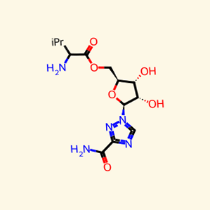 CC(C)C(N)C(=O)OC[C@@H]1O[C@H](n2cnc(C(N)=O)n2)[C@@H](O)[C@H]1O